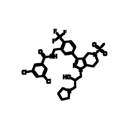 CS(=O)(=O)N1CCc2c(c(-c3ccc(C(F)(F)F)c(CNC(=O)c4cc(Cl)cc(Cl)c4)c3)nn2CC(O)CN2CCCC2)C1